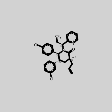 C=CC[C@@]1(C)C[C@H](c2cccc(Cl)c2)[C@@H](c2ccc(Cl)cc2)N([C@@H](CC(F)(F)F)c2ccccn2)C1=O